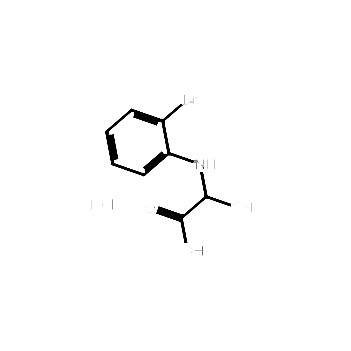 CC(Nc1ccccc1Br)C(=O)O.Cl